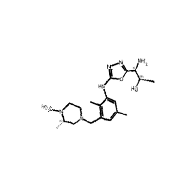 Cc1cc(CN2CCN(C(=O)O)[C@@H](C)C2)c(C)c(Nc2nnc([C@@H](N)[C@@H](C)O)o2)c1